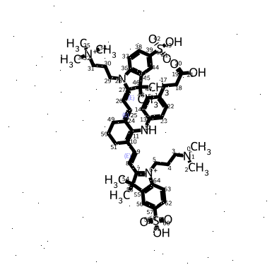 CN(C)CCC[N+]1=C(/C=C/C2=C(Nc3ccc(CCC(=O)O)cc3)C(=C/C=C3/N(CCC[N+](C)(C)C)c4ccc(S(=O)(=O)O)cc4C3(C)C)/CCC2)C(C)(C)c2cc(S(=O)(=O)O)ccc21